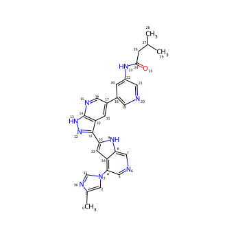 Cc1cn(-c2cncc3[nH]c(-c4n[nH]c5ncc(-c6cncc(NC(=O)CC(C)C)c6)cc45)cc23)cn1